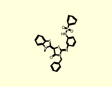 CN1/C(=C2/S/C(=N\c3cccc(NS(=O)(=O)c4ccccc4)c3)N(Cc3ccccc3)C2=O)Sc2ccccc21